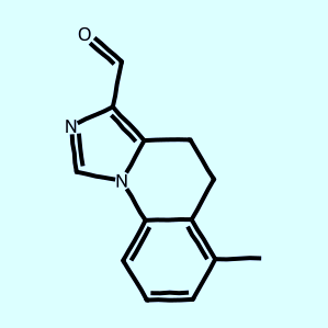 Cc1cccc2c1CCc1c(C=O)ncn1-2